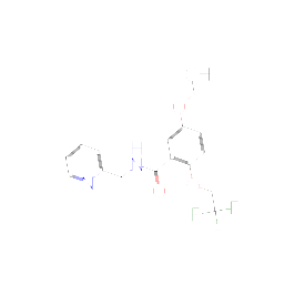 CCOc1ccc(OCC(F)(F)F)c(C(=O)NCc2ccccn2)c1